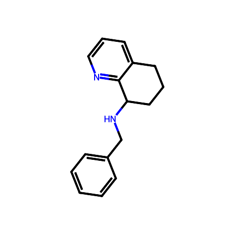 c1ccc(CNC2CCCc3cccnc32)cc1